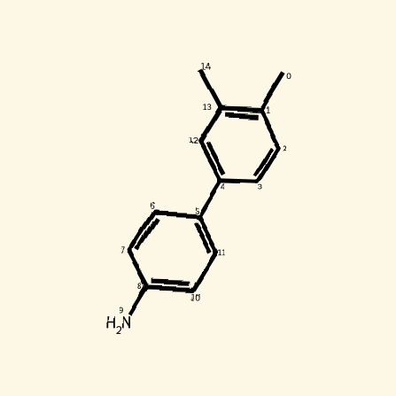 Cc1ccc(-c2ccc(N)cc2)cc1C